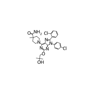 CC(C)(O)COc1nc(N2CCC(C)(C(N)=O)CC2)c2nc(-c3ccccc3Cl)n(-c3ccc(Cl)cc3)c2n1